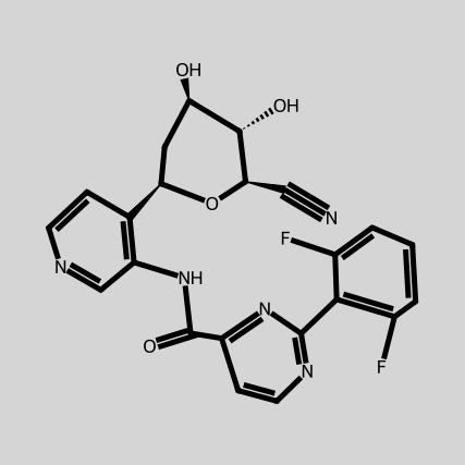 N#C[C@H]1O[C@@H](c2ccncc2NC(=O)c2ccnc(-c3c(F)cccc3F)n2)C[C@@H](O)[C@@H]1O